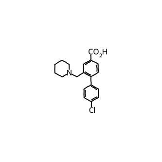 O=C(O)c1ccc(-c2ccc(Cl)cc2)c(CN2CCCCC2)c1